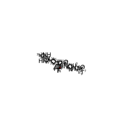 CC1CN(C(=O)C(C)(C)C)CCN1c1ccc(NC(=O)c2ccc(-c3ccc(-c4c[nH]c([C@@H]5C[C@H](C)CN5)n4)cc3)c(OC(F)(F)F)c2F)cn1